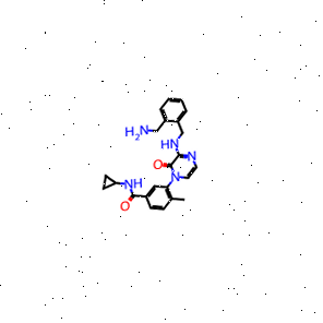 Cc1ccc(C(=O)NC2CC2)cc1-n1ccnc(NCc2ccccc2CN)c1=O